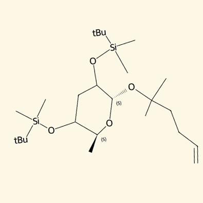 C=CCCC(C)(C)O[C@@H]1O[C@@H](C)C(O[Si](C)(C)C(C)(C)C)CC1O[Si](C)(C)C(C)(C)C